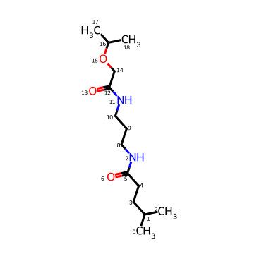 CC(C)CCC(=O)NCCCNC(=O)COC(C)C